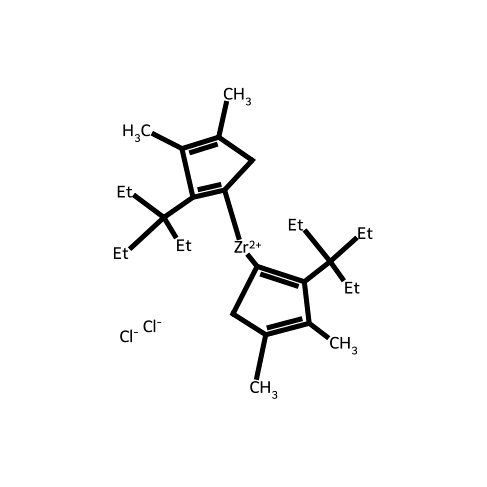 CCC(CC)(CC)C1=[C]([Zr+2][C]2=C(C(CC)(CC)CC)C(C)=C(C)C2)CC(C)=C1C.[Cl-].[Cl-]